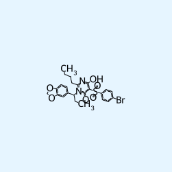 CCCCc1nc(O)c(S(=O)(=O)c2ccc(Br)cc2)c(=O)n1C(CC)c1ccc2c(c1)OCO2